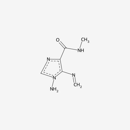 C=Nc1c(C(=O)NC)ncn1N